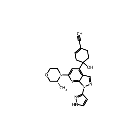 C#CC1=CCC(O)(c2cc(N3CCOC[C@H]3C)nc3c2cnn3-c2cc[nH]n2)CC1